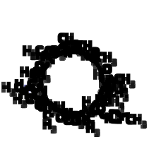 C/C=C/C[C@@H](C)[C@@H](O)[C@H]1C(=O)N[C@@H](CC)C(=O)N(C)[C@H](C)C(=O)N[C@@H]([C@H](C)CCN2CCN(CC)CC2)C(=O)N[C@@H](C(C)C)C(=O)N(C)[C@@H](CC(C)C)C(=O)N[C@@H](C)C(=O)N[C@H](C)C(=O)N(C)[C@@H](CC(C)C)C(=O)N(C)[C@@H](CC(C)C)C(=O)N(C)[C@@H](C(C)C)C(=O)N1C